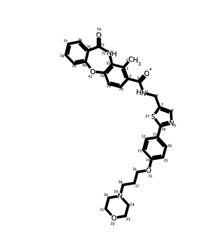 Cc1c(C(=O)NCc2cnc(-c3ccc(OCCCN4CCOCC4)cc3)s2)ccc2c1NC(=O)c1ccccc1O2